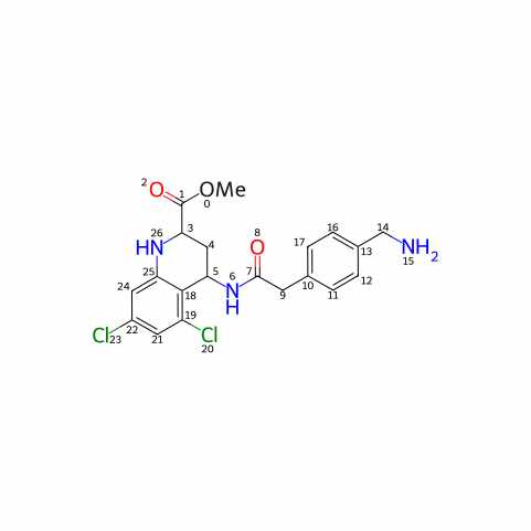 COC(=O)C1CC(NC(=O)Cc2ccc(CN)cc2)c2c(Cl)cc(Cl)cc2N1